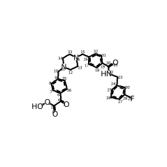 O=C(OO)C(=O)c1ccc(CN2CCN(Cc3ccc(C(=O)NCc4cccc(F)c4)cc3)CC2)cc1